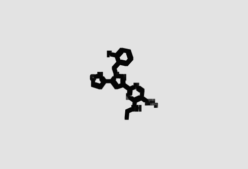 CCNc1nc(-c2cc(-c3ccon3)n(Cc3ccccc3F)n2)ncc1N